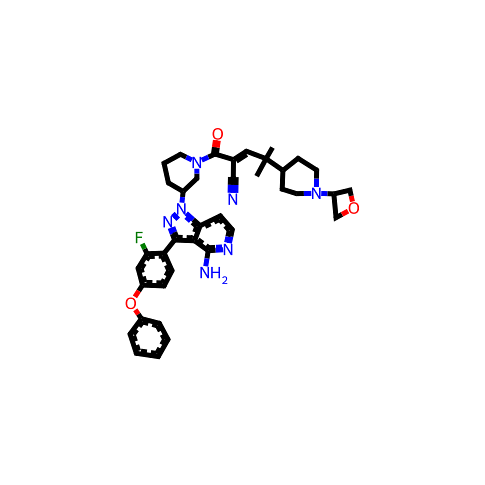 CC(C)(C=C(C#N)C(=O)N1CCCC(n2nc(-c3ccc(Oc4ccccc4)cc3F)c3c(N)nccc32)C1)C1CCN(C2COC2)CC1